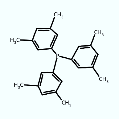 Cc1cc(C)cc(P(c2cc(C)cc(C)c2)c2cc(C)cc(C)c2)c1